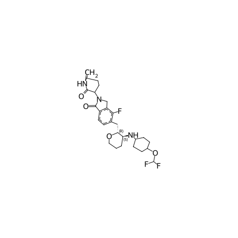 C=C1CCC(N2Cc3c(ccc(C[C@H]4OCCC[C@@H]4NC4CCC(OC(F)F)CC4)c3F)C2=O)C(=O)N1